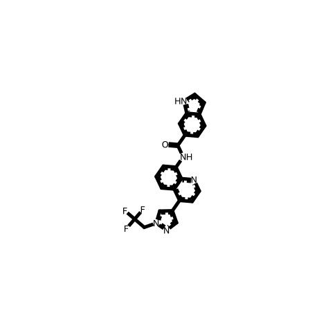 O=C(Nc1cccc2c(-c3cnn(CC(F)(F)F)c3)ccnc12)c1ccc2cc[nH]c2c1